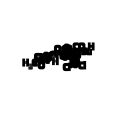 CCCCC(C(=O)O)N(c1cccc2c(C(=O)NCc3ccc(C(=O)N(C)C)cc3)cccc12)S(=O)(=O)c1cc(Cl)cc(Cl)c1